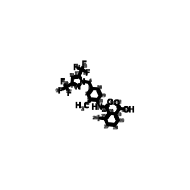 Cc1cc(Cn2nc(C(F)(F)F)cc2C(F)(F)F)ccc1NC(=O)c1c(I)cccc1C(=O)O